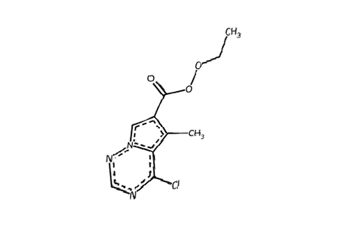 CCOOC(=O)c1cn2ncnc(Cl)c2c1C